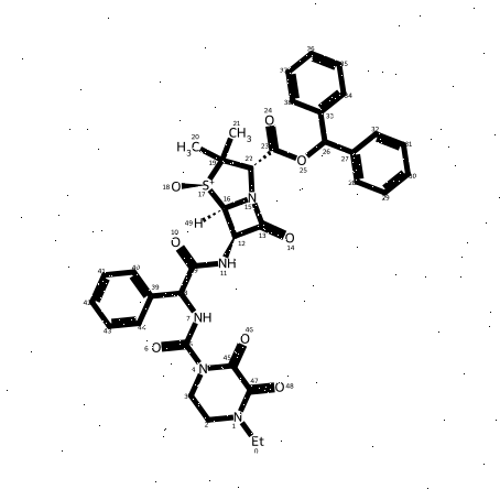 CCN1CCN(C(=O)NC(C(=O)N[C@@H]2C(=O)N3[C@@H]2[S@@+]([O-])C(C)(C)[C@@H]3C(=O)OC(c2ccccc2)c2ccccc2)c2ccccc2)C(=O)C1=O